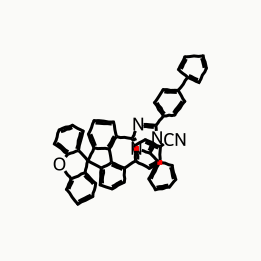 N#Cc1ccc(-c2cccc3c2-c2c(-c4nc(-c5ccccc5)nc(-c5ccc(-c6ccccc6)cc5)n4)cccc2C32c3ccccc3Oc3ccccc32)cc1